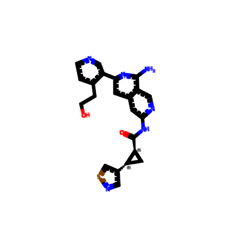 Nc1nc(-c2cnccc2CCO)cc2cc(NC(=O)[C@H]3C[C@@H]3c3cnsc3)ncc12